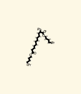 CC(C)CCCCOC(=O)CCCCCCCCCC(C(=O)OCCCCC(C)C)C(C)C